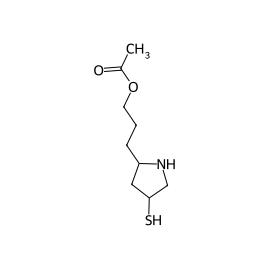 CC(=O)OCCCC1CC(S)CN1